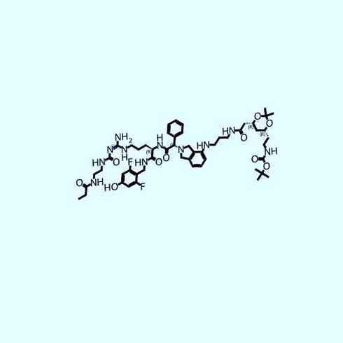 CCC(=O)NCCNC(=O)/N=C(/N)NCCC[C@@H](NC(=O)[C@H](c1ccccc1)N1Cc2cccc(NCCCNC(=O)C[C@H]3C[C@@H](CCNC(=O)OC(C)(C)C)OC(C)(C)O3)c2C1)C(=O)NCc1c(F)cc(O)cc1F